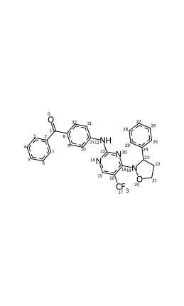 O=C(c1ccccc1)c1ccc(Nc2ncc(C(F)(F)F)c(N3OCCC3c3ccccc3)n2)cc1